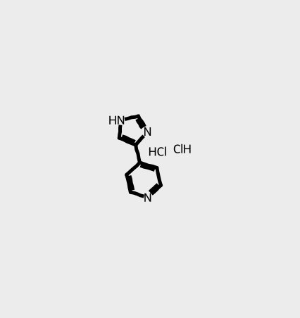 Cl.Cl.c1cc(-c2c[nH]cn2)ccn1